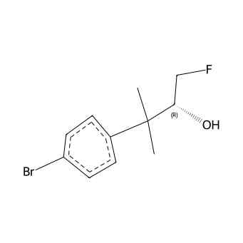 CC(C)(c1ccc(Br)cc1)[C@@H](O)CF